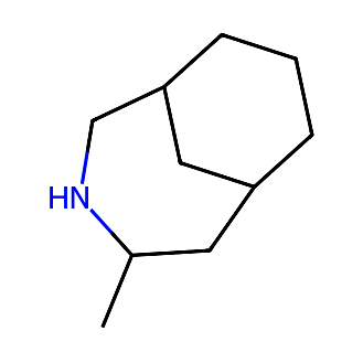 CC1CC2CCCC(CN1)C2